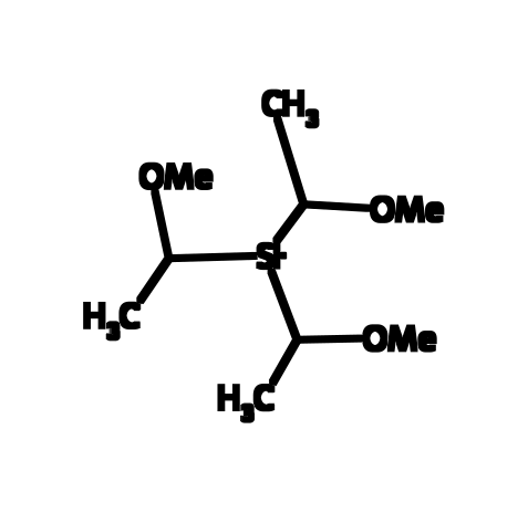 COC(C)[Si](C(C)OC)C(C)OC